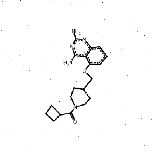 Nc1nc(N)c2c(OCC3CCN(C(=O)C4CCC4)CC3)cccc2n1